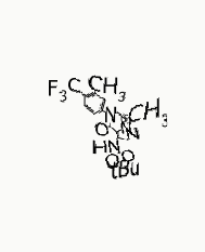 Cc1cc(N2C[C@H](C)n3ncc(NC(=O)OC(C)(C)C)c3C2=O)ccc1C(F)(F)F